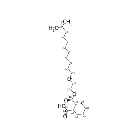 CC(C)CCCCCCCCCOCCOC(=O)C1CCCCC1C(=O)O